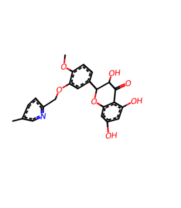 COc1ccc(C2Oc3cc(O)cc(O)c3C(=O)C2O)cc1OCc1ccc(C)cn1